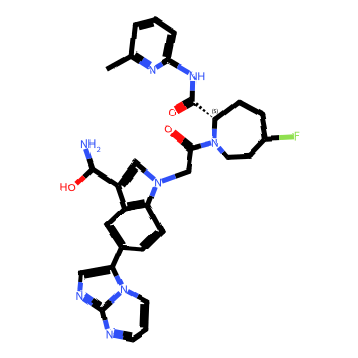 Cc1cccc(NC(=O)[C@@H]2CCC(F)CCN2C(=O)Cn2cc(C(N)O)c3cc(-c4cnc5ncccn45)ccc32)n1